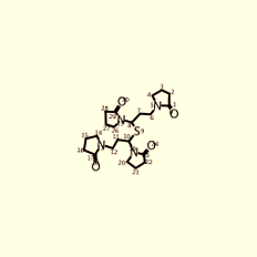 O=C1CCCN1CCC(SC(CCN1CCCC1=O)N1CCCC1=O)N1CCCC1=O